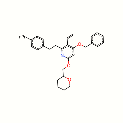 C=Cc1c(OCc2ccccc2)cc(OCC2CCCCO2)nc1CCc1ccc(CCC)cc1